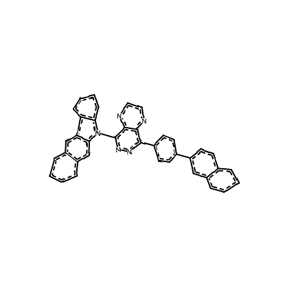 c1ccc2cc(-c3ccc(-c4nnc(-n5c6ccccc6c6cc7ccccc7cc65)c5nccnc45)cc3)ccc2c1